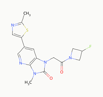 Cc1ncc(-c2cnc3c(c2)n(CC(=O)N2CC(F)C2)c(=O)n3C)s1